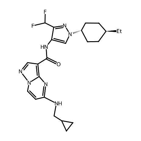 CC[C@H]1CC[C@H](n2cc(NC(=O)c3cnn4ccc(NCC5CC5)nc34)c(C(F)F)n2)CC1